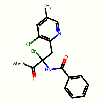 COC(=O)C(Br)(Cc1ncc(C(F)(F)F)cc1Cl)NC(=O)c1ccccc1